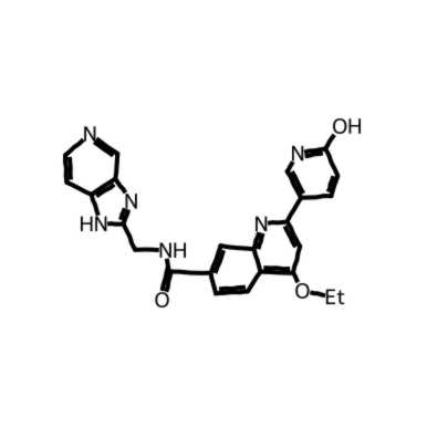 CCOc1cc(-c2ccc(O)nc2)nc2cc(C(=O)NCc3nc4cnccc4[nH]3)ccc12